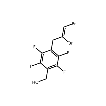 OCc1c(F)c(F)c(C/C(Br)=C/Br)c(F)c1F